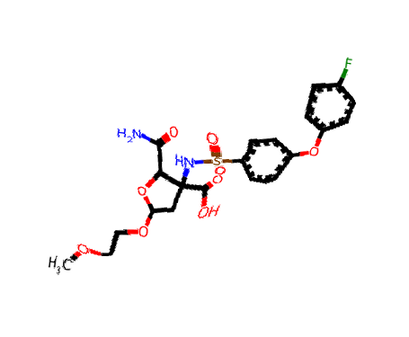 COCCOC1CC(NS(=O)(=O)c2ccc(Oc3ccc(F)cc3)cc2)(C(=O)O)C(C(N)=O)O1